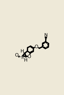 N#Cc1cccc(COC2=CCC3C(=C2)O[C@H]2[C@H](C=O)[C@@H]32)c1